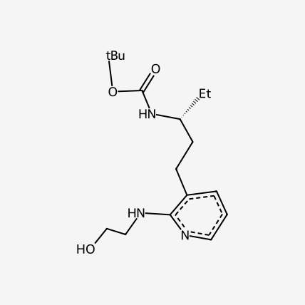 CC[C@H](CCc1cccnc1NCCO)NC(=O)OC(C)(C)C